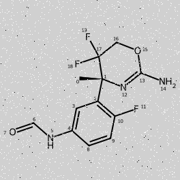 C[C@]1(c2cc(NC=O)ccc2F)N=C(N)OCC1(F)F